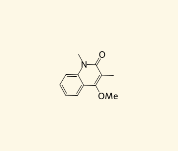 COc1c(C)c(=O)n(C)c2ccccc12